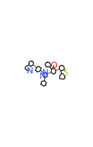 c1ccc(-c2cc(-c3ccc(-c4cccc5sc6ccccc6c45)c4oc5ccccc5c34)nc(-c3ccc(-c4cccc5cccnc45)cc3)n2)cc1